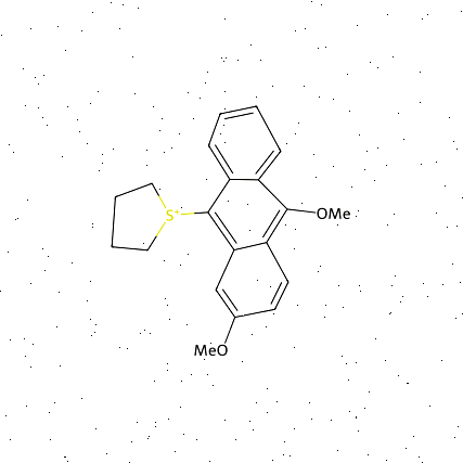 COc1ccc2c(OC)c3ccccc3c([S+]3CCCC3)c2c1